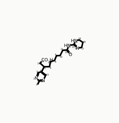 Cc1ncc(C(CCCCCCC(=O)NC2=NCCCN2)CC(=O)O)cn1